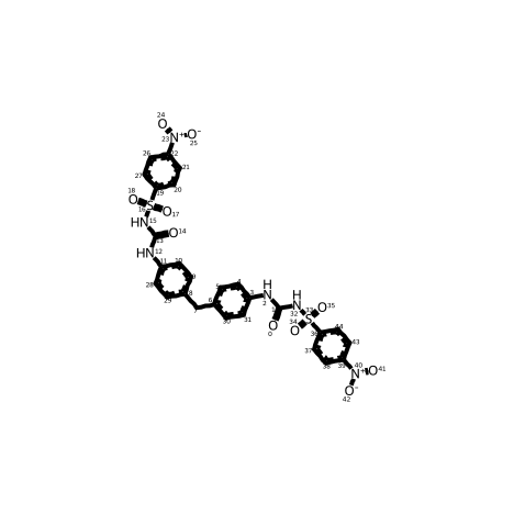 O=C(Nc1ccc(Cc2ccc(NC(=O)NS(=O)(=O)c3ccc([N+](=O)[O-])cc3)cc2)cc1)NS(=O)(=O)c1ccc([N+](=O)[O-])cc1